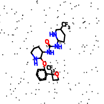 O=C(NC1CCC(C(F)(F)F)CN1)NC1CCCNC1Oc1ccccc1C1(C(F)(F)F)CCO1